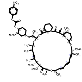 CO[C@H]1C[C@@H]2CC[C@@H](C)[C@@](O)(O2)C(=O)C(=O)N2CCCC[C@H]2C(=O)O[C@H]([C@H](C)C[C@@H]2CC[C@@H](OC(=O)Oc3ccc([N+](=O)[O-])cc3)[C@H](OC)C2)C[C@H](N)[C@H](C)/C=C(\C)[C@@H](OC)[C@@H](OC)C(=O)[C@H](C)C[C@H](C)/C=C/C=C/C=C/1C